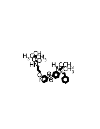 CC(C)(C)OC(=O)NCCCOc1cc(S(=O)(=O)c2ccc3c(c2)nc(C(C)(C)C)n3CC2CCCCC2)ccn1